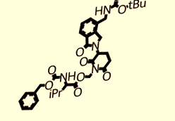 CC(C)C(NC(=O)OCc1ccccc1)C(=O)OCN1C(=O)CCC(N2Cc3c(CNC(=O)OC(C)(C)C)cccc3C2=O)C1=O